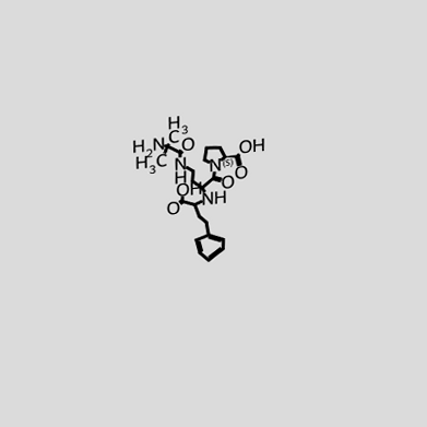 CC(C)(N)C(=O)NCCC(NC(CCc1ccccc1)C(=O)O)C(=O)N1CCC[C@H]1C(=O)O